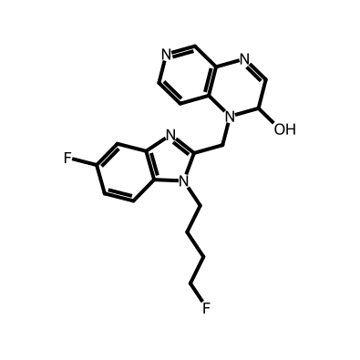 OC1C=Nc2cnccc2N1Cc1nc2cc(F)ccc2n1CCCCF